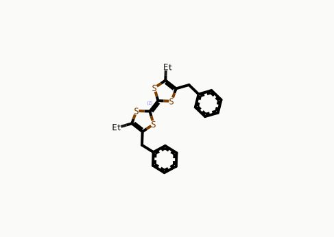 CCC1=C(Cc2ccccc2)S/C(=C2/SC(CC)=C(Cc3ccccc3)S2)S1